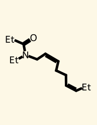 CC/C=C\CC/C=C\CN(CC)C(=O)CC